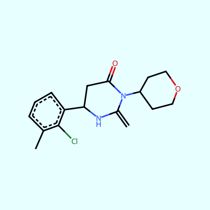 C=C1NC(c2cccc(C)c2Cl)CC(=O)N1C1CCOCC1